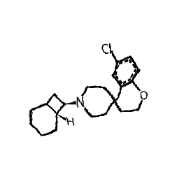 Clc1ccc2c(c1)C1(CCO2)CCN([C@@H]2CC3CCCC[C@H]32)CC1